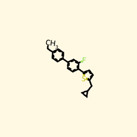 CCc1ccc(-c2ccc(-c3ccc(CC4CC4)s3)c(F)c2)cc1